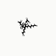 CCCCCCC/C(C(=O)OCC(C)C)=C(\CCCCC)C(=O)OCC(C)C